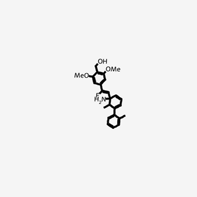 COc1cc(/C(F)=C/C2(N)C=CC=C(c3ccccc3C)C2C)cc(OC)c1CO